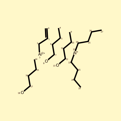 C=C[CH2][Al+2].CCCC[O-].CCCC[O-].CCCC[O-].CCC[CH2][Al+][CH2]CCC